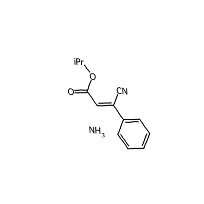 CC(C)OC(=O)C=C(C#N)c1ccccc1.N